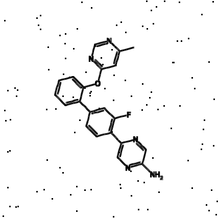 Cc1cc(Oc2ccccc2-c2ccc(-c3cnc(N)cn3)c(F)c2)ncn1